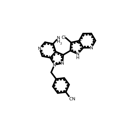 N#Cc1ccc(Cn2nc(-c3[nH]c4ncccc4c3Cl)c3c(N)cncc32)cc1